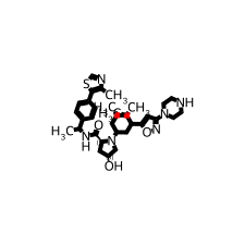 CCC(C)CC(CC(CC)c1cc(N2CCNCC2)no1)N1C[C@H](O)C[C@H]1C(=O)NC(C)c1ccc(-c2scnc2C)cc1